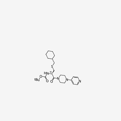 CC(C)(C)OC(=O)N[C@@H](CSCC1CCCCC1)C(=O)N1CCN(c2ccncc2)CC1